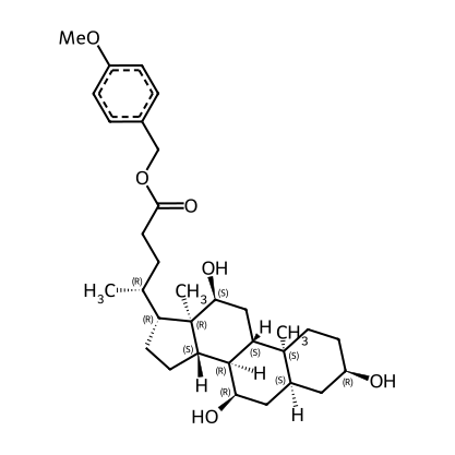 COc1ccc(COC(=O)CC[C@@H](C)[C@H]2CC[C@H]3[C@@H]4[C@H](O)C[C@@H]5C[C@H](O)CC[C@]5(C)[C@H]4C[C@H](O)[C@]23C)cc1